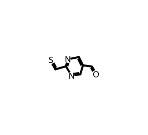 O=Cc1cnc(C=S)nc1